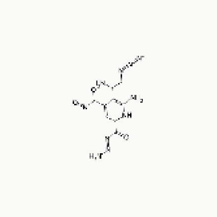 [N-]=[N+]=NCC(N)C1=C(N)NC(C(=O)N=NN)C=C1C(=O)N=O